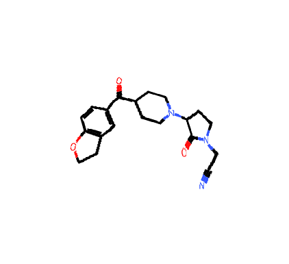 N#CCN1CCC(N2CCC(C(=O)c3ccc4c(c3)CCO4)CC2)C1=O